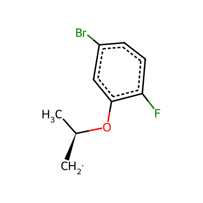 [CH2][C@@H](C)Oc1cc(Br)ccc1F